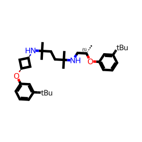 C[C@@H](CNC(C)(C)CCC(C)(C)N[C@H]1C[C@@H](Oc2cccc(C(C)(C)C)c2)C1)Oc1cccc(C(C)(C)C)c1